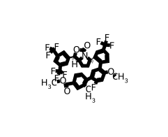 COC(=O)c1ccc(-c2cc(-c3ccc(C(F)(F)F)cc3[C@@H]3CC[C@H]4[C@@H](c5cc(C(F)(F)F)cc(C(F)(F)F)c5)OC(=O)N34)c(OC)cc2F)c(C)c1